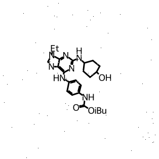 CCn1cnc2c(Nc3ccc(NC(=O)OCC(C)C)cc3)nc(NC3CCC(O)CC3)nc21